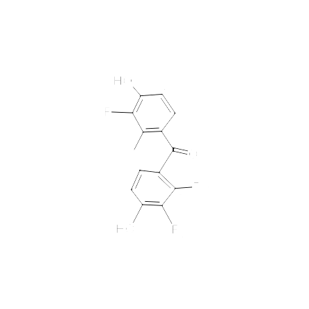 O=C(c1ccc(O)c(F)c1F)c1ccc(O)c(F)c1F